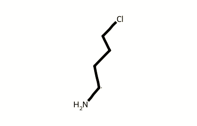 N[CH]CCCCl